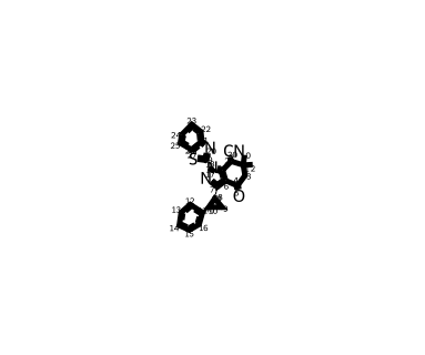 CC1(C)CC(=O)c2c([C@@H]3C[C@H]3c3ccccc3)nn(-c3nc4ccccc4s3)c2C1C#N